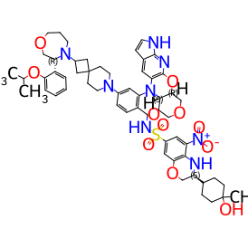 CC(C)Oc1ccccc1[C@@H]1COCCCN1C1CC2(CCN(c3ccc(C(=O)NS(=O)(=O)c4cc5c(c([N+](=O)[O-])c4)N[C@@H](C4CCC(C)(O)CC4)CO5)c(N4c5cc6cc[nH]c6nc5O[C@H]5COCC[C@@H]54)c3)CC2)C1